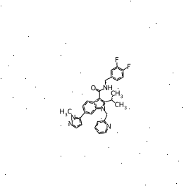 CC(C)c1c(C(=O)NCc2ccc(F)c(F)c2)c2ccc(-c3ccnn3C)cc2n1Cc1ccccn1